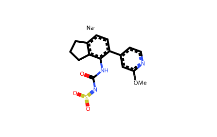 COc1cc(-c2ccc3c(c2NC(=O)N=S(=O)=O)CCC3)ccn1.[Na]